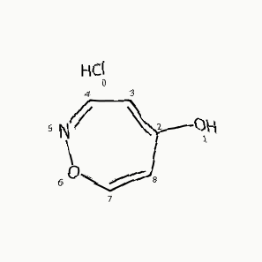 Cl.OC1=CC=NOC=C1